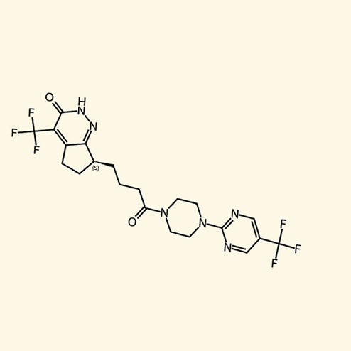 O=C(CCC[C@H]1CCc2c1n[nH]c(=O)c2C(F)(F)F)N1CCN(c2ncc(C(F)(F)F)cn2)CC1